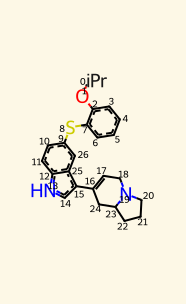 CC(C)Oc1ccccc1Sc1ccc2[nH]cc(C3=CCN4CCCC4C3)c2c1